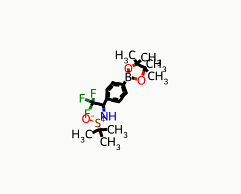 CC(C)(C)[S@+]([O-])NC(c1ccc(B2OC(C)(C)C(C)(C)O2)cc1)C(F)(F)F